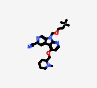 CN1CCCCC1COc1ccnc2c1c1cc(C#N)ncc1n2COCC[Si](C)(C)C